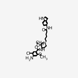 COc1cc(N)c(Cl)cc1C(=O)N[C@H]1CCN(CCCCCC(=O)Nc2ccc3[nH]ccc3c2)C[C@H]1OC